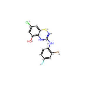 Oc1cc(Cl)cc2c1NC(Nc1ccc(F)cc1Br)=NS2